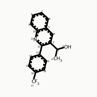 CC(O)c1cc2ccccc2nc1-c1ccc(C(F)(F)F)cc1